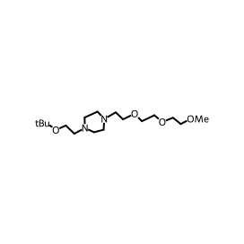 COCCOCCOCCN1CCN(CCOC(C)(C)C)CC1